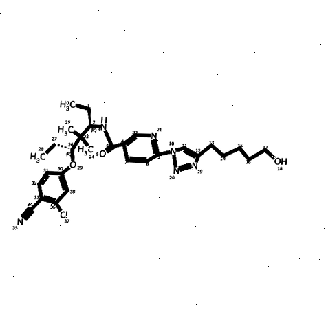 CC[C@@H](NC(=O)c1ccc(-n2cc(CCCCCO)nn2)nc1)C(C)(C)[C@@H](CC)Oc1ccc(C#N)c(Cl)c1